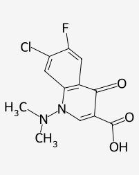 CN(C)n1cc(C(=O)O)c(=O)c2cc(F)c(Cl)cc21